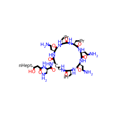 CCCCCCC[C@@H](O)CC(=O)N[C@H](CN)C(=O)N[C@H]1CCNC(=O)[C@H](CC(C)C)NC(=O)[C@H](CCN)NC(=O)[C@H](CCN)NC(=O)[C@H](CC(C)C)NC(=O)[C@@H](CC(C)C)NC(=O)[C@H](CCN)NC1=O